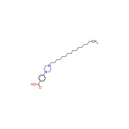 CCCCCCCCCCCCCCCCN1CCN(c2ccc(C(=O)O)cc2)CC1